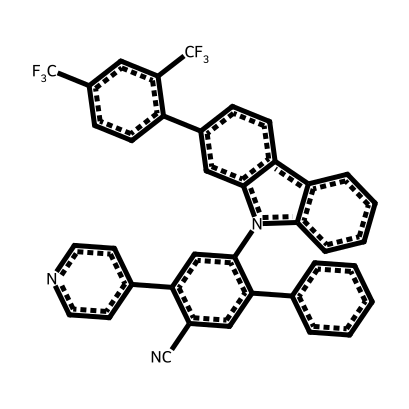 N#Cc1cc(-c2ccccc2)c(-n2c3ccccc3c3ccc(-c4ccc(C(F)(F)F)cc4C(F)(F)F)cc32)cc1-c1ccncc1